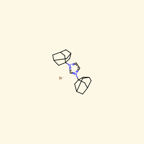 [Br-].c1c[n+](C23CC4CC(CC(C4)C2)C3)cn1C12CC3CC(CC(C3)C1)C2